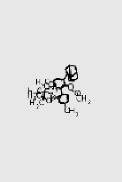 COCOc1c(-c2ccc(C)cc2B2OC(C)(C)C(C)(C)O2)cc(C)cc1C12CC3CC(CC(C3)C1)C2